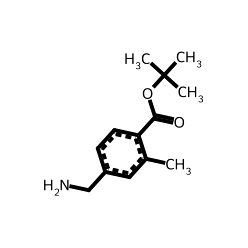 Cc1cc(CN)ccc1C(=O)OC(C)(C)C